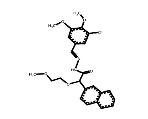 COCCOC(C(=O)N/N=C/c1cc(Cl)c(OC)c(OC)c1)c1ccc2ccccc2c1